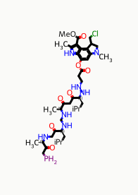 COC(=O)c1c(C)[nH]c2c(OC(=O)CCNN[C@@H](CC(C)C)C(=O)CC(=O)[C@H](C)NCN[C@@H](CC(C)C)C(=O)CN[C@@H](C)C(=O)CP)cc3c(c12)C(CCl)CN3C